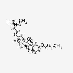 CCOCOc1cccc(C2(OC)OOC23C2CC4CC3CC(OCCN(C)CC)(C4)C2)c1